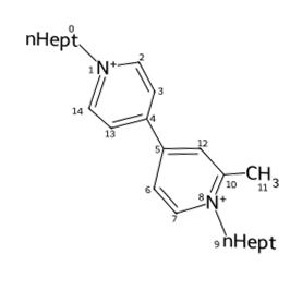 CCCCCCC[n+]1ccc(-c2cc[n+](CCCCCCC)c(C)c2)cc1